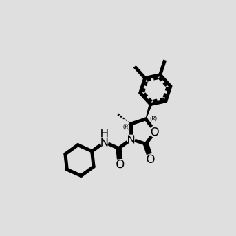 Cc1ccc([C@H]2OC(=O)N(C(=O)NC3CCCCC3)[C@@H]2C)cc1C